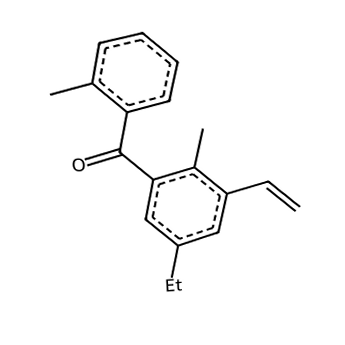 C=Cc1cc(CC)cc(C(=O)c2ccccc2C)c1C